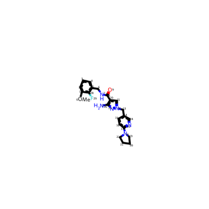 COc1cccc(CNC(=O)c2cn(Cc3ccc(N4CCCC4)nc3)nc2N)c1F